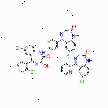 CN1C(=O)CN=C(c2ccccc2)c2cc(Cl)ccc21.O=C1CN=C(c2ccccn2)c2cc(Br)ccc2N1.O=C1Nc2ccc(Cl)cc2C(c2ccccc2Cl)=NC1O